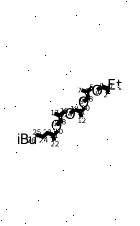 CC/C(C)=C/OCC(C)COCC(C)COCC(C)COCC(C)CCCC(C)CC